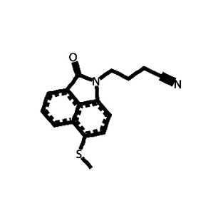 CSc1ccc2c3c(cccc13)C(=O)N2CCCC#N